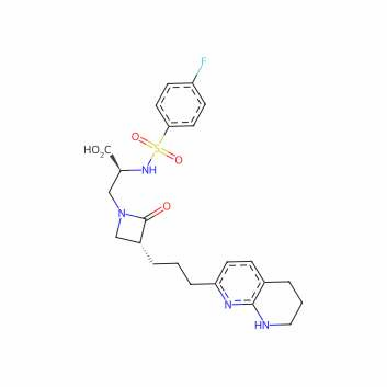 O=C(O)[C@H](CN1C[C@@H](CCCc2ccc3c(n2)NCCC3)C1=O)NS(=O)(=O)c1ccc(F)cc1